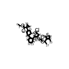 CCOC(=O)C1(c2ccc(-c3ccccc3-c3sc(Cl)cc3NC(=O)OC(C)c3cscc3C)cc2)CC1